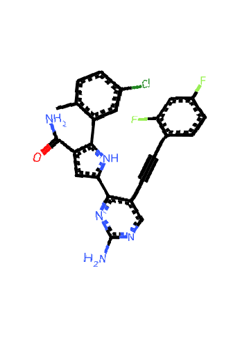 Cc1ccc(Cl)cc1-c1[nH]c(-c2nc(N)ncc2C#Cc2ccc(F)cc2F)cc1C(N)=O